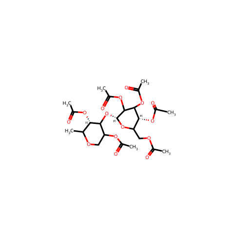 CC(=O)OCC1O[C@H](OC2C(OC(C)=O)COC(C)[C@@H]2OC(C)=O)C(OC(C)=O)C(OC(C)=O)[C@@H]1OC(C)=O